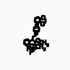 C=CC(OC)C(CCN1CCN(c2cccc3c2OCCO3)CC1)c1ccccc1OC(F)(F)F